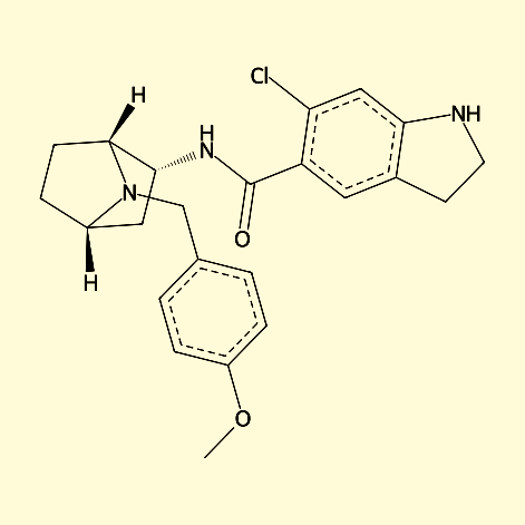 COc1ccc(CN2[C@H]3CC[C@@H]2[C@H](NC(=O)c2cc4c(cc2Cl)NCC4)C3)cc1